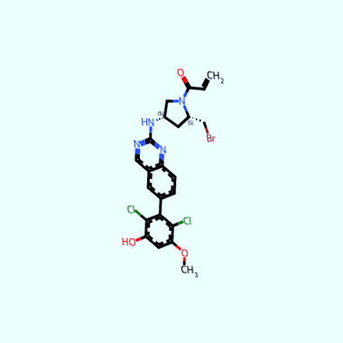 C=CC(=O)N1C[C@@H](Nc2ncc3cc(-c4c(Cl)c(O)cc(OC)c4Cl)ccc3n2)C[C@H]1CBr